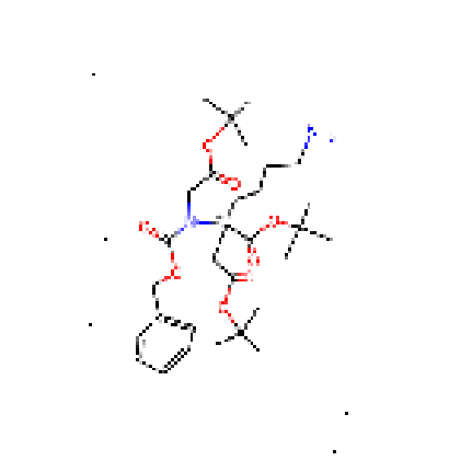 CC(C)(C)OC(=O)CN(C(=O)OCc1ccccc1)[C@](CCCCN)(CC(=O)OC(C)(C)C)C(=O)OC(C)(C)C